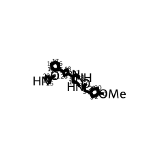 COc1ccc(CC(=O)Nc2cc(C3CC(c4ccccc4OC4CNC4)C3)n[nH]2)cc1